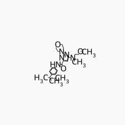 COCCN(C)c1cc(C(=O)Nc2ccc(C(C)C)c(C)c2)nc(N2CCOCC2)n1